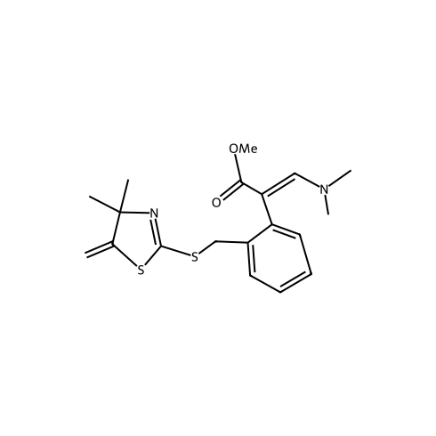 C=C1SC(SCc2ccccc2/C(=C\N(C)C)C(=O)OC)=NC1(C)C